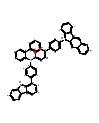 c1ccc(-c2ccccc2N(c2ccc(-c3ccc(-n4c5ccccc5c5cc6ccccc6cc54)cc3)cc2)c2ccc(-c3cccc4c3sc3ccccc34)cc2)cc1